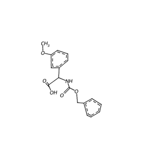 COc1cccc(C(NC(=O)OCc2ccccc2)C(=O)O)c1